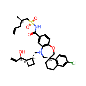 C=CC[C@@H](C)CS(=O)(=O)NC(=O)c1ccc2c(c1)N(C[C@@H]1CC[C@H]1[C@H](O)C=C)C[C@@]1(CCCc3cc(Cl)ccc31)CO2